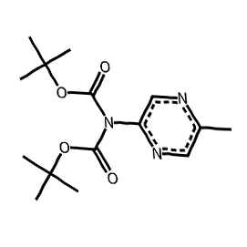 Cc1cnc(N(C(=O)OC(C)(C)C)C(=O)OC(C)(C)C)cn1